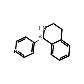 c1ccc2c(c1)CCN[C@H]2c1ccncc1